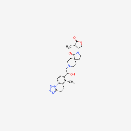 CC1=C(N2CCC3(CCN(CC(O)c4ccc5c(c4C)CCc4nnnn4-5)CC3)C2=O)COC1=O